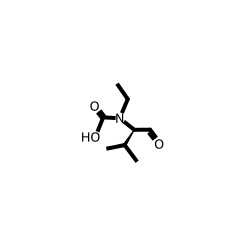 CCN(C(=O)O)[C@@H](C=O)C(C)C